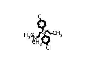 CCC[Si](CCN(C)C)(c1ccc(Cl)cc1)c1ccc(Cl)cc1